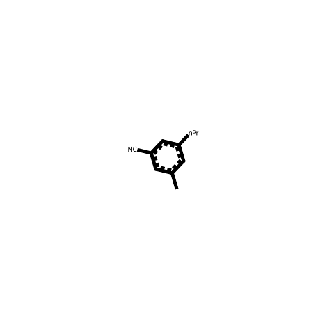 CCCc1cc(C)cc(C#N)c1